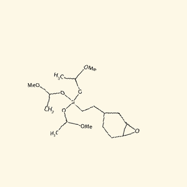 COC(C)O[Si](CCC1CCC2OC2C1)(OC(C)OC)OC(C)OC